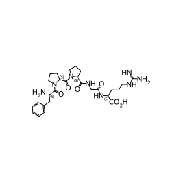 N=C(N)NCCC[C@H](NC(=O)CNC(=O)[C@@H]1CCCN1C(=O)[C@@H]1CCCN1C(=O)[C@@H](N)Cc1ccccc1)C(=O)O